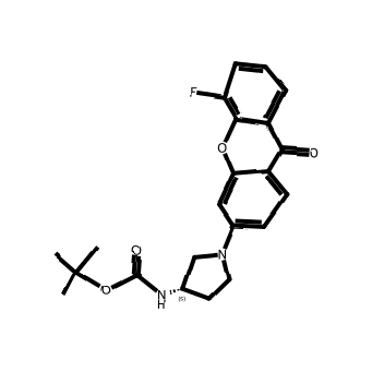 CC(C)(C)OC(=O)N[C@H]1CCN(c2ccc3c(=O)c4cccc(F)c4oc3c2)C1